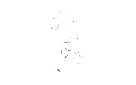 C[C@H]1[C@@H](CC(C[C@H]2O[C@@H]3O[C@]4(C)CC[C@H]5[C@H](C)CC[C@@H]([C@H]2C)[C@@]35OO4)CS(=O)(=O)c2ccc(COC(=O)N(C)C)cc2)O[C@@H]2OC3(C)CC[C@H]4[C@H](C)CC[C@@H]1[C@@]24OO3